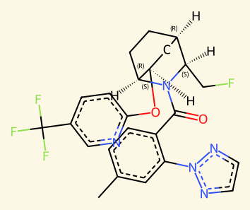 Cc1ccc(C(=O)N2[C@H](CF)[C@@H]3CC[C@H]2[C@H](Oc2ccc(C(F)(F)F)cn2)C3)c(-n2nccn2)c1